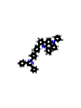 c1ccc(-c2cc(-c3ccccc3)nc(-c3ccc(-c4ccc(-c5cccc6c5nc(-c5ccccc5)c5c6ccc6c5c5ccccc5n6-c5ccccc5)cc4)cc3)n2)cc1